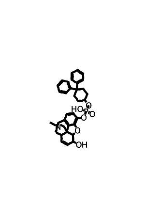 CN1CCC23c4c5ccc(OP(=O)(O)OC6CCC(c7ccccc7)(c7ccccc7)CC6)c4OC2C(O)C=CC3C1C5